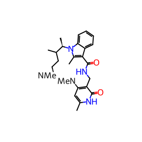 CNCCC(C)[C@@H](C)n1c(C)c(C(=O)NCc2c(NC)cc(C)[nH]c2=O)c2ccccc21